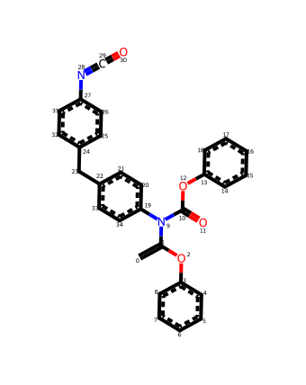 C=C(Oc1ccccc1)N(C(=O)Oc1ccccc1)c1ccc(Cc2ccc(N=C=O)cc2)cc1